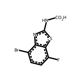 O=C(O)Nc1nc2c(Br)ccc(F)c2s1